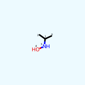 C[C](C)NO